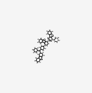 C1=CC(c2nc(-c3ccc(-c4ccc(N(c5ccccc5)c5ccc6sc7ccccc7c6c5)cc4)c4c3oc3ccccc34)nc3c2oc2ccccc23)=CCC1